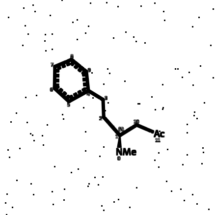 CN[C@@H](CCc1ccccc1)CC(C)=O